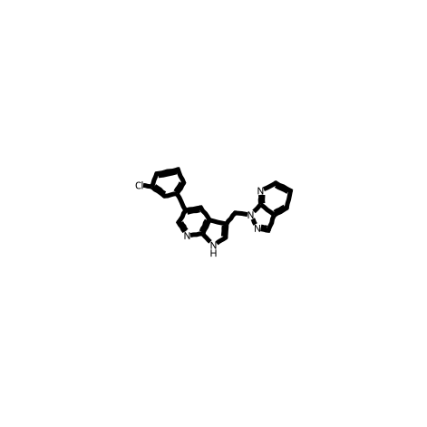 Clc1cccc(-c2cnc3[nH]cc(Cn4ncc5cccnc54)c3c2)c1